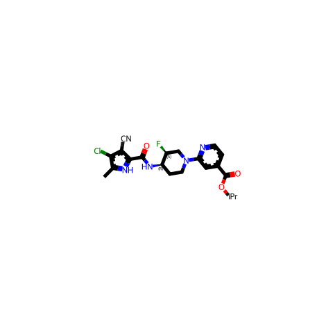 Cc1[nH]c(C(=O)N[C@@H]2CCN(c3cc(C(=O)OC(C)C)ccn3)C[C@@H]2F)c(C#N)c1Cl